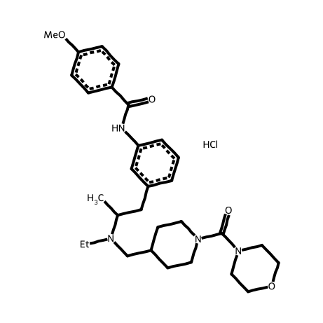 CCN(CC1CCN(C(=O)N2CCOCC2)CC1)C(C)Cc1cccc(NC(=O)c2ccc(OC)cc2)c1.Cl